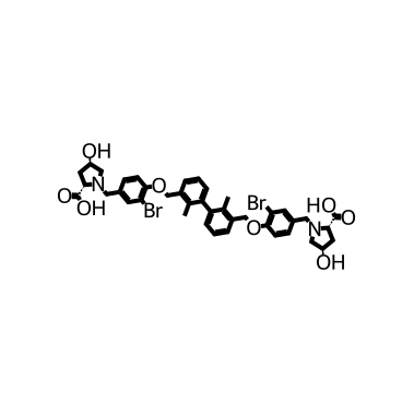 Cc1c(COc2ccc(CN3C[C@@H](O)C[C@H]3C(=O)O)cc2Br)cccc1-c1cccc(COc2ccc(CN3C[C@@H](O)C[C@H]3C(=O)O)cc2Br)c1C